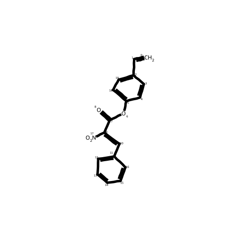 C=Cc1ccc(OC(=O)C(=Cc2ccccc2)[N+](=O)[O-])cc1